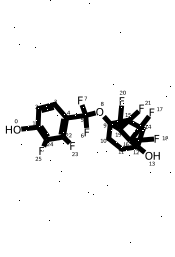 Oc1ccc(C(F)(F)OC23CCC(O)(CC2)C(F)(F)C3(F)F)c(F)c1F